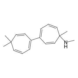 CNC1(C)C=CC=C(C2=CC=CC(C)(C)C=C2)C=C1